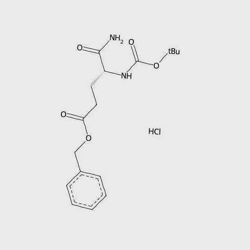 CC(C)(C)OC(=O)N[C@H](CCC(=O)OCc1ccccc1)C(N)=O.Cl